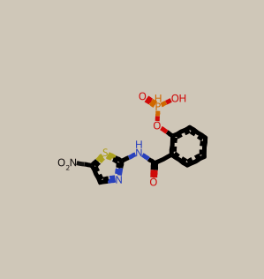 O=C(Nc1ncc([N+](=O)[O-])s1)c1ccccc1O[PH](=O)O